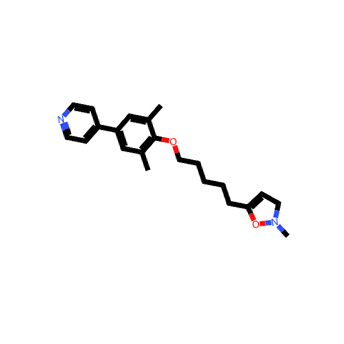 Cc1cc(-c2ccncc2)cc(C)c1OCCCCCC1=CCN(C)O1